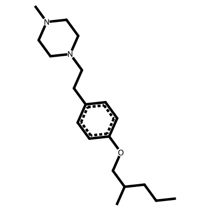 CCCC(C)COc1ccc(CCN2CCN(C)CC2)cc1